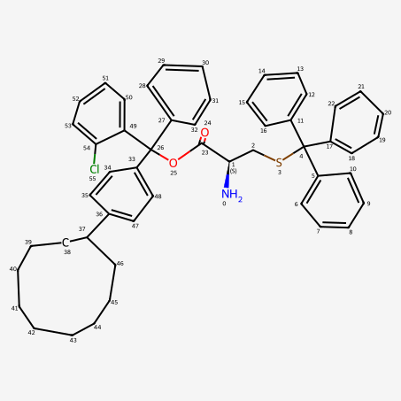 N[C@H](CSC(c1ccccc1)(c1ccccc1)c1ccccc1)C(=O)OC(c1ccccc1)(c1ccc(C2CCCCCCCCC2)cc1)c1ccccc1Cl